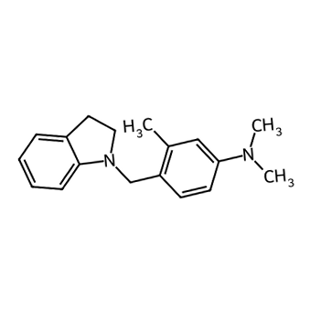 Cc1cc(N(C)C)ccc1CN1CCc2ccccc21